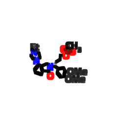 CCN1CCN(c2cccc3c2CN([C@H](CCCOS(C)(=O)=O)c2ccc(OC)c(OC)c2)C3=O)CC1